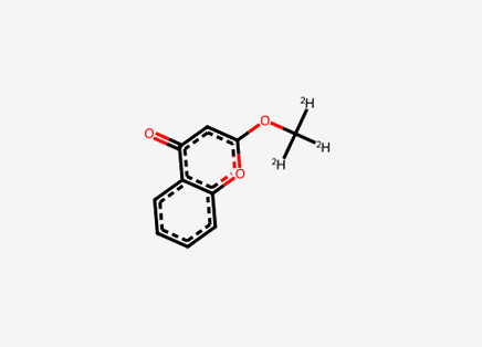 [2H]C([2H])([2H])Oc1cc(=O)c2ccccc2o1